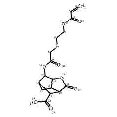 C=CC(=O)OCCCCC(=O)OC1C2CC3C1OC(=O)C3C2C(=O)O